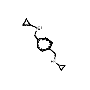 c1cc(CNC2CC2)ccc1CNC1CC1